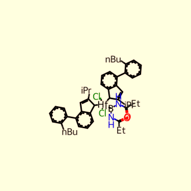 CCCCc1ccccc1-c1cccc2c1C=C(C(C)C)[CH]2[Hf]([Cl])([Cl])([B](NC(=O)CC)NC(=O)CC)[CH]1C(C(C)C)=Cc2c(-c3ccccc3CCCC)cccc21